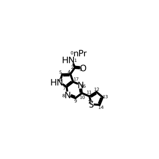 CCCNC(=O)c1c[nH]c2ncc(-c3cccs3)nc12